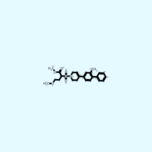 COCCC(C(=O)OC)S(=O)(=O)N1CC=C(c2ccc(-c3ccccc3)c(C)c2)CC1